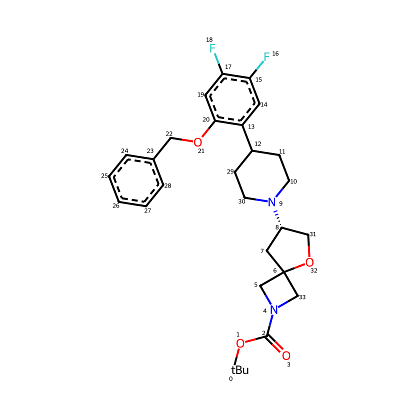 CC(C)(C)OC(=O)N1CC2(C[C@H](N3CCC(c4cc(F)c(F)cc4OCc4ccccc4)CC3)CO2)C1